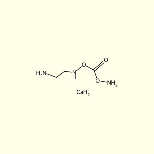 NCCNOC(=O)ON.[CaH2]